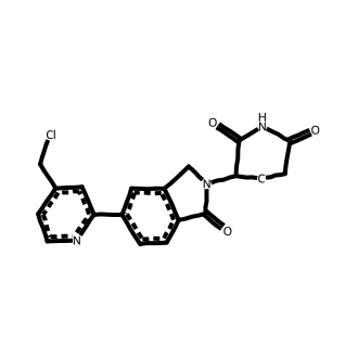 O=C1CCC(N2Cc3cc(-c4cc(CCl)ccn4)ccc3C2=O)C(=O)N1